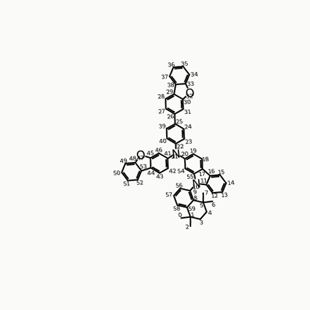 CC1(C)CCC(C)(C)c2c(-n3c4ccccc4c4ccc(N(c5ccc(-c6ccc7c(c6)oc6ccccc67)cc5)c5ccc6c(c5)oc5ccccc56)cc43)cccc21